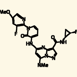 CNc1cc(Nc2cccn(-c3ncc(OC)cc3F)c2=O)nc2c(C(=O)N[C@H]3C[C@H]3F)cnn12